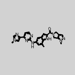 Cc1cc(Nc2nccc(-c3cn(C)cn3)n2)cc2cc(C(=O)N3Cc4cnn(C)c4C3)[nH]c12